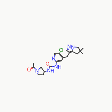 CC(=O)N1CC[C@H](NC(=O)Nc2cc(Cc3cnn4c3CC(C)(C)C4)c(Cl)cn2)C1